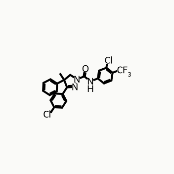 CC1(c2ccccc2)CN(C(=O)Nc2ccc(C(F)(F)F)c(Cl)c2)N=C1c1ccc(Cl)cc1